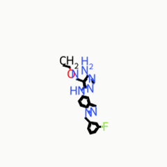 C=CCO/N=C/c1c(N)ncnc1Nc1ccc2c(cnn2Cc2cccc(F)c2)c1